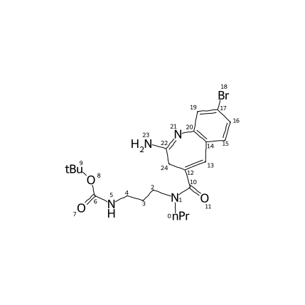 CCCN(CCCNC(=O)OC(C)(C)C)C(=O)C1=Cc2ccc(Br)cc2N=C(N)C1